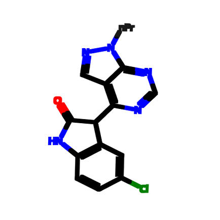 CCCn1ncc2c(C3C(=O)Nc4ccc(Cl)cc43)ncnc21